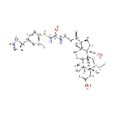 CC[C@H]1[C@@H](O)[C@@H]2[C@H](CC[C@]3(C)[C@@H]([C@H](C)CCNC(=O)NSc4ccc(-c5ccno5)cc4C)CC[C@@H]23)[C@@]2(C)CC[C@@H](O)C[C@@H]12